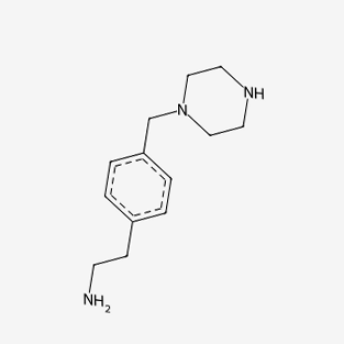 NCCc1ccc(CN2CCNCC2)cc1